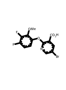 COc1c(Oc2ncc(Br)cc2C(=O)O)ccc(F)c1F